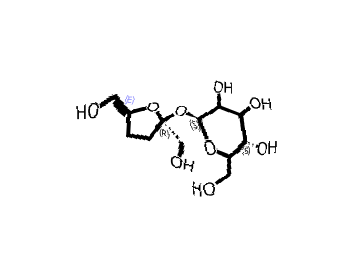 O/C=C1\CC[C@](CO)(O[C@@H]2OC(CO)[C@@H](O)C(O)C2O)O1